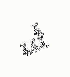 COc1c(OC[C@H](O)CN2CCC2)ccc2c1N=C(NC(=O)c1cncs1)N1CCN=C21.COc1c(OC[C@H](O)CN2CCCC2)ccc2c1N=C(NC(=O)c1cncs1)N1CCN=C21.COc1c(OC[C@H](O)CN2CCCC2)ccc2c1N=C(NC(=O)c1scnc1C)N1CCN=C21.COc1c(OC[C@H](O)CN2CCCCC2)ccc2c1N=C(NC(=O)c1cncs1)N1CCN=C21